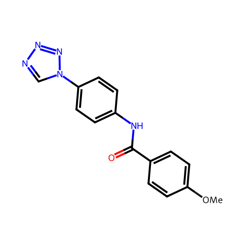 COc1ccc(C(=O)Nc2ccc(-n3cnnn3)cc2)cc1